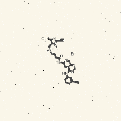 C#Cc1cccc(Nc2ncnc3cnc(NC(=O)/C=C/C[N+](C)(C)Cc4c([N+](=O)[O-])nc(C#C)n4C)cc23)c1.[Br-]